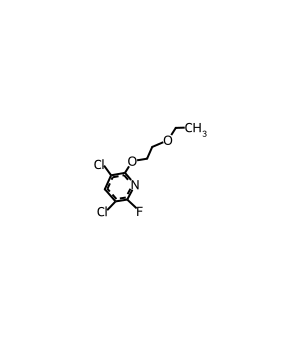 CCOCCOc1nc(F)c(Cl)cc1Cl